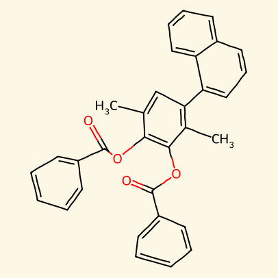 Cc1cc(-c2cccc3ccccc23)c(C)c(OC(=O)c2ccccc2)c1OC(=O)c1ccccc1